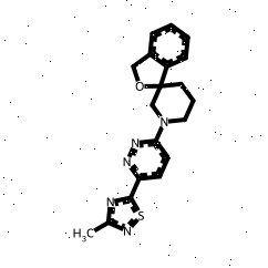 Cc1nsc(-c2ccc(N3CCCC4(C3)OCc3ccccc34)nn2)n1